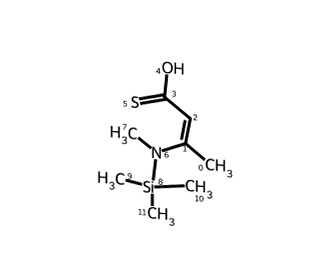 CC(=CC(O)=S)N(C)[Si](C)(C)C